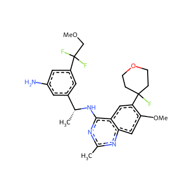 COCC(F)(F)c1cc(N)cc([C@@H](C)Nc2nc(C)nc3cc(OC)c(C4(F)CCOCC4)cc23)c1